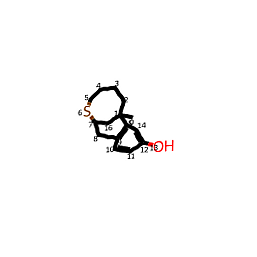 CC12CCCCSC(Cc3ccc(O)cc31)C2